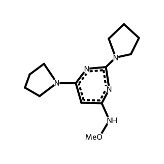 CONc1cc(N2CCCC2)nc(N2CCCC2)n1